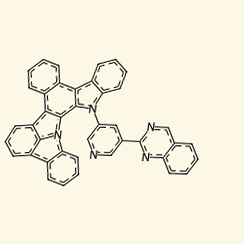 c1ccc2nc(-c3cncc(-n4c5ccccc5c5c6ccccc6c6c7cccc8c9ccccc9n(c87)c6c54)c3)ncc2c1